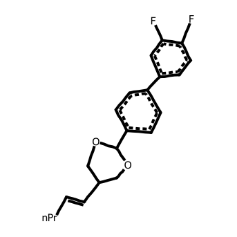 CCCC=CC1COC(c2ccc(-c3ccc(F)c(F)c3)cc2)OC1